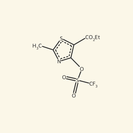 CCOC(=O)c1sc(C)nc1OS(=O)(=O)C(F)(F)F